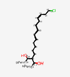 CCCCCC(O)C(CCCCCCCCC/C=C\CCCl)C(O)CCCCC